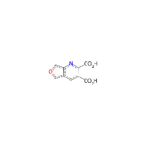 O=C(O)c1cc2cocc2nc1C(=O)O